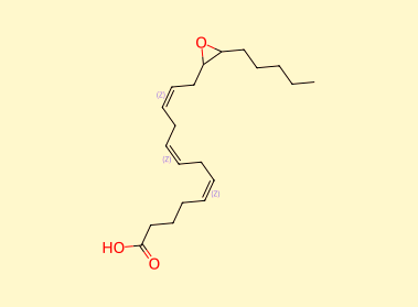 CCCCCC1OC1C/C=C\C/C=C\C/C=C\CCCC(=O)O